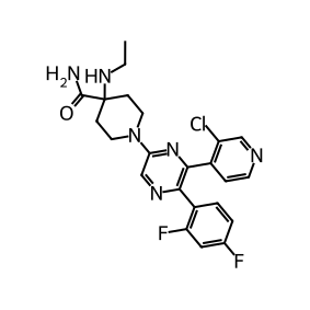 CCNC1(C(N)=O)CCN(c2cnc(-c3ccc(F)cc3F)c(-c3ccncc3Cl)n2)CC1